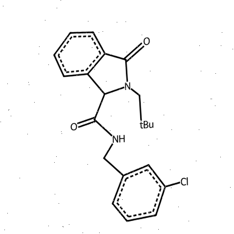 CC(C)(C)CN1C(=O)c2ccccc2C1C(=O)NCc1cccc(Cl)c1